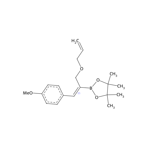 C=CCOC/C(=C\c1ccc(OC)cc1)B1OC(C)(C)C(C)(C)O1